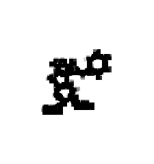 COc1cc2sc(C(=O)O)c(OCC3CC=CCC3)c2cc1OC